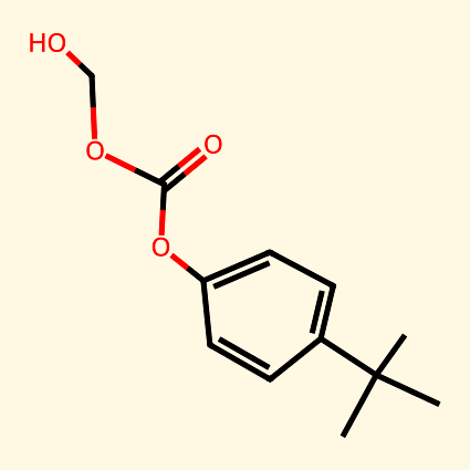 CC(C)(C)c1ccc(OC(=O)OCO)cc1